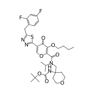 CCCCOc1c(C(=O)N(CC2(NC(=O)OC(C)(C)C)CCOCC2)C(C)C)occ(-c2nnc(Cc3ccc(F)cc3F)s2)c1=O